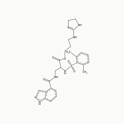 Cc1cccc(C)c1S(=O)(=O)NC(CNC(=O)c1cccc2[nH]ncc12)C(=O)OCCCNC1=NCCN1